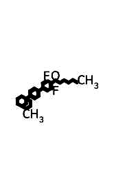 CCCCCCC(=O)c1c(F)cc(-c2ccc(C34CCCC(C3)C(C)CC4)cc2)cc1F